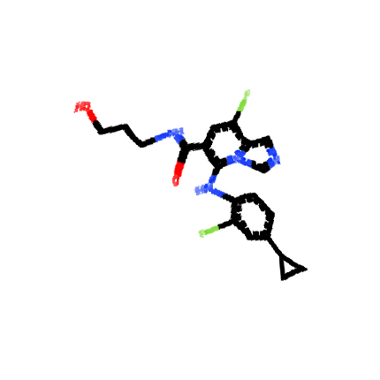 O=C(NCCCO)c1cc(F)c2cncn2c1Nc1ccc(C2CC2)cc1F